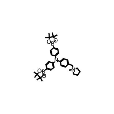 CC1(C)OB(c2ccc(N(c3ccc(C[N+]4(C)CCCC4)cc3)c3ccc(B4OC(C)(C)C(C)(C)O4)cc3)cc2)OC1(C)C